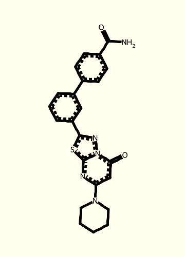 NC(=O)c1ccc(-c2cccc(-c3nn4c(=O)cc(N5CCCCC5)nc4s3)c2)cc1